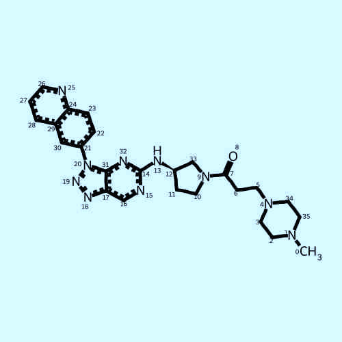 CN1CCN(CCC(=O)N2CC[C@@H](Nc3ncc4nnn(-c5ccc6ncccc6c5)c4n3)C2)CC1